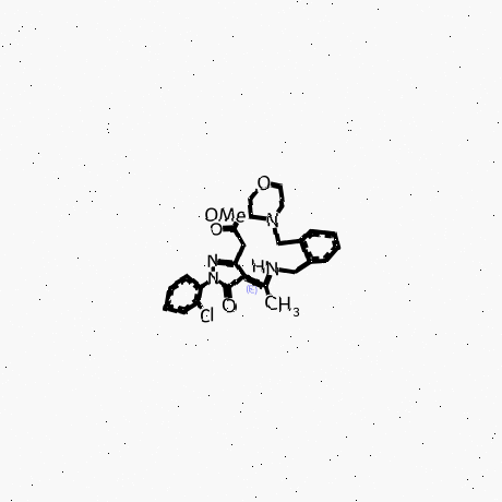 COC(=O)CC1=NN(c2ccccc2Cl)C(=O)/C1=C(\C)NCc1ccccc1CN1CCOCC1